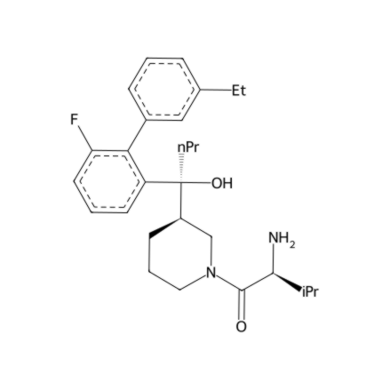 [CH2]CC[C@@](O)(c1cccc(F)c1-c1cccc(CC)c1)[C@@H]1CCCN(C(=O)[C@@H](N)C(C)C)C1